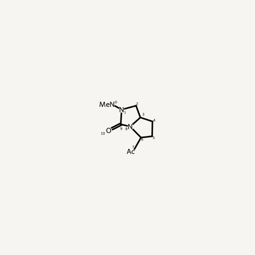 CNN1CC2CCC(C(C)=O)N2C1=O